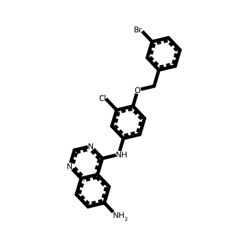 Nc1ccc2ncnc(Nc3ccc(OCc4cccc(Br)c4)c(Cl)c3)c2c1